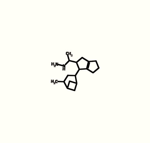 CC1CC(C2C3=C(CCC3)CC2C(C)NN)C2CC1C2